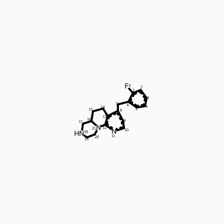 Fc1ccccc1Cc1ccnc2c1CCC1CNCCN21